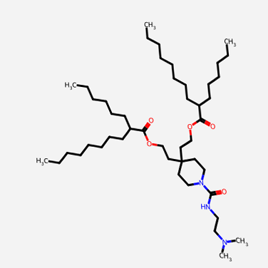 CCCCCCCCC(CCCCCC)C(=O)OCCC1(CCOC(=O)C(CCCCCC)CCCCCCCC)CCN(C(=O)NCCN(C)C)CC1